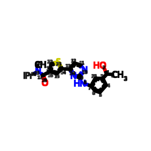 CC(O)c1cccc(Nc2nccc(-c3cc(C(=O)N(C)C(C)C)cs3)n2)c1